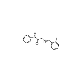 Cc1ccccc1C=NCC(=O)Nc1ccccc1